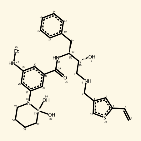 C=Cc1cc(CNC[C@@H](O)[C@H](Cc2ccccc2)NC(=O)c2cc(NCC)cc(N3CCCCS3(O)O)c2)cs1